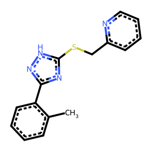 Cc1ccccc1-c1n[nH]c(SCc2ccccn2)n1